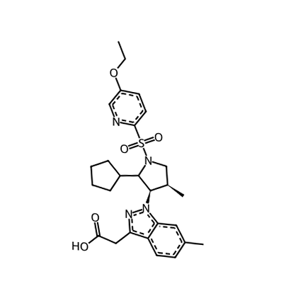 CCOc1ccc(S(=O)(=O)N2C[C@@H](C)[C@@H](n3nc(CC(=O)O)c4ccc(C)cc43)C2C2CCCC2)nc1